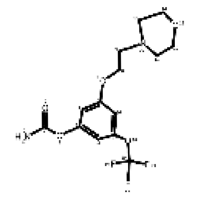 NC(=O)Oc1cc(OCCN2CCOCC2)cc(OC(F)(F)F)c1